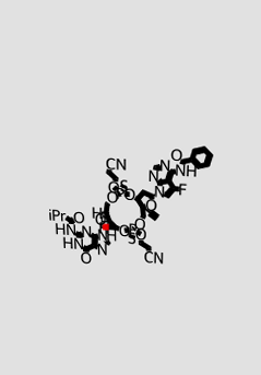 C#C[C@@]12COP(=S)(OCCC#N)O[C@@H]3[C@H](F)[C@@H](COP(=S)(OCCC#N)OC1C[C@H](n1cc(F)c4c(NC(=O)c5ccccc5)ncnc41)O2)O[C@H]3n1cnc2c(=O)[nH]c(NC(=O)C(C)C)nc21